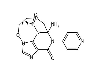 CCC[PH](=O)N1c2c3ncn2OCCOCC1(N)N(c1ccncc1)C3=O